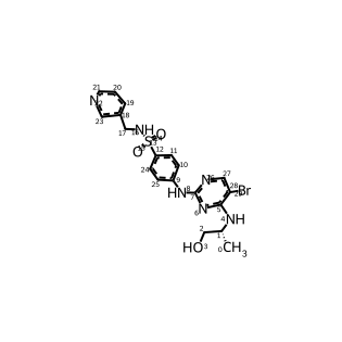 C[C@H](CO)Nc1nc(Nc2ccc(S(=O)(=O)NCc3cccnc3)cc2)ncc1Br